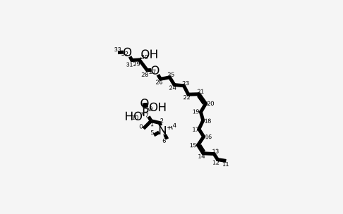 CC(C[N+](C)(C)C)P(=O)(O)O.CCC/C=C\CCCC/C=C\CCCCCOC[C@@H](O)COC